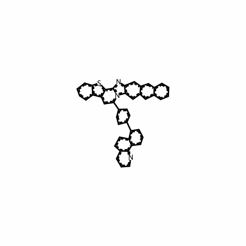 c1ccc2cc3cc4c(cc3cc2c1)nc1c2sc3ccccc3c2cc(-c2ccc(-c3cccc5c3ccc3cccnc35)cc2)n41